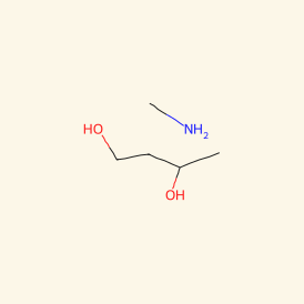 CC(O)CCO.CN